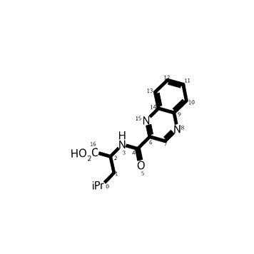 CC(C)CC(NC(=O)c1cnc2ccccc2n1)C(=O)O